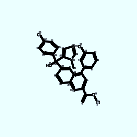 C=C(OCC)c1cc(-c2cccc(Cl)c2)c2cc(C(O)(c3ccc(Cl)cc3)c3cncn3C)ccc2n1